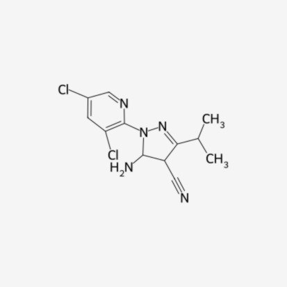 CC(C)C1=NN(c2ncc(Cl)cc2Cl)C(N)C1C#N